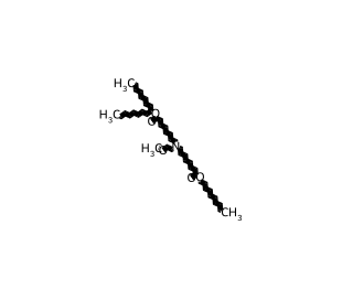 CCCCCCCCCCOC(=O)CCCCCCCN(CCCCCCCC(=O)OC(CCCCCCCC)CCCCCCCC)CCOC